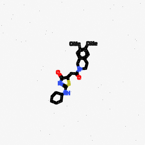 COc1cc2c(cc1OC)CN(C(=O)CC1SC(NC3CCCCC3)=NC1=O)CC2